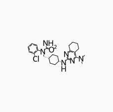 CN(C)c1nc(N[C@H]2CC[C@@H](CN(C(N)=O)c3ccccc3Cl)CC2)nc2c1CCCC2